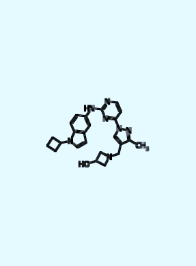 Cc1nn(-c2ccnc(Nc3ccc4c(ccn4C4CCC4)c3)n2)cc1CN1CC(O)C1